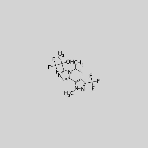 CC1Cc2c(C(F)(F)F)nn(C)c2-c2cnc(C(C)(O)C(F)(F)F)n21